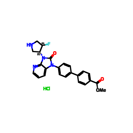 COC(=O)c1ccc(-c2ccc(-n3c(=O)n([C@@H]4CNC[C@H]4F)c4ncccc43)cc2)cc1.Cl